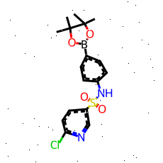 CC1(C)OB(c2ccc(NS(=O)(=O)c3ccc(Cl)nc3)cc2)OC1(C)C